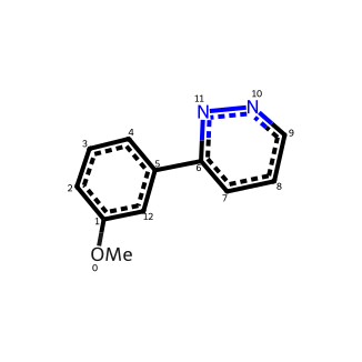 COc1cccc(-c2cccnn2)c1